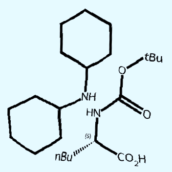 C1CCC(NC2CCCCC2)CC1.CCCC[C@H](NC(=O)OC(C)(C)C)C(=O)O